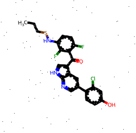 CCCSNc1ccc(F)c(C(=O)c2c[nH]c3ncc(-c4ccc(O)cc4Cl)cc23)c1F